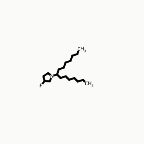 CCCCCCCC(CCCCCCC)N1CCC(F)C1